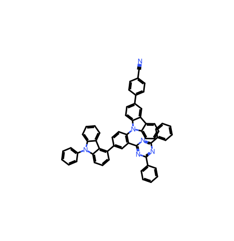 N#Cc1ccc(-c2ccc3c(c2)c2ccccc2n3-c2ccc(-c3cccc4c3c3ccccc3n4-c3ccccc3)cc2-c2nc(-c3ccccc3)nc(-c3ccccc3)n2)cc1